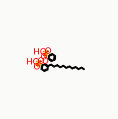 CCCCCCCCCCCCc1cccc(S(=O)(=O)O)c1Oc1ccccc1S(=O)(=O)O